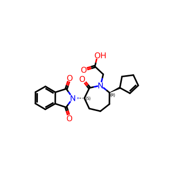 O=C(O)CN1C(=O)[C@@H](N2C(=O)c3ccccc3C2=O)CCC[C@@H]1C1C=CCC1